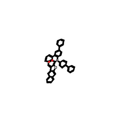 c1ccc(-c2ccc(N(c3ccc(-c4ccccc4)cc3-c3ccccc3)c3cncc4c3oc3cc5ccccc5cc34)cc2)cc1